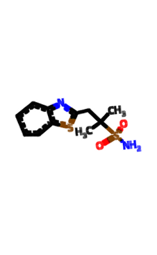 CC(C)(Cc1nc2ccccc2s1)S(N)(=O)=O